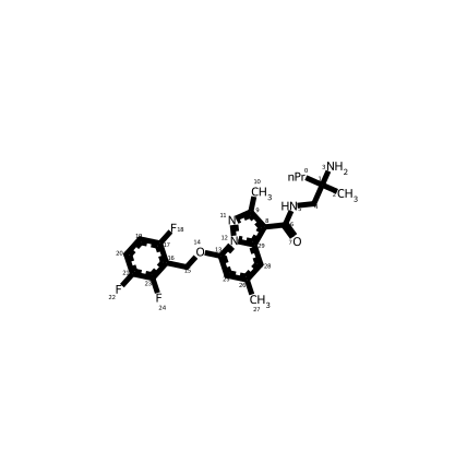 CCCC(C)(N)CNC(=O)c1c(C)nn2c(OCc3c(F)ccc(F)c3F)cc(C)cc12